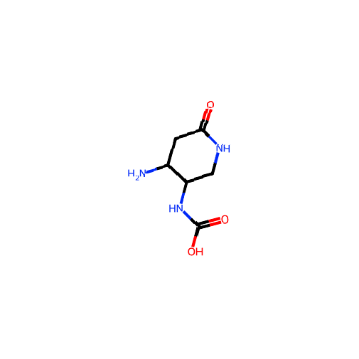 NC1CC(=O)NCC1NC(=O)O